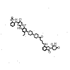 CCc1cc(Nc2ncc(Cl)c(Nc3ccccc3P(C)(C)=O)n2)c(OC)cc1N1CCC(N2CCN(C(=O)CCCNc3cccc4c3CN(C3CCC(=O)NC3=O)C4=O)CC2)CC1